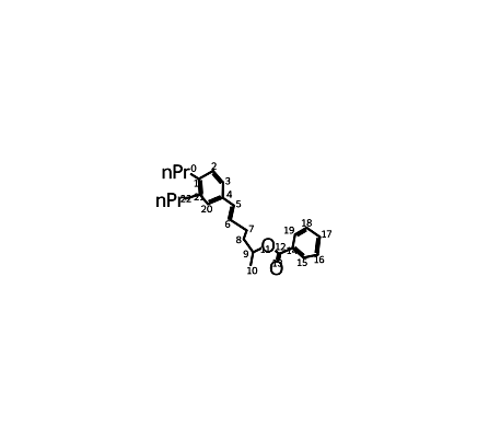 CCCc1ccc(C=CCCC(C)OC(=O)c2ccccc2)cc1CCC